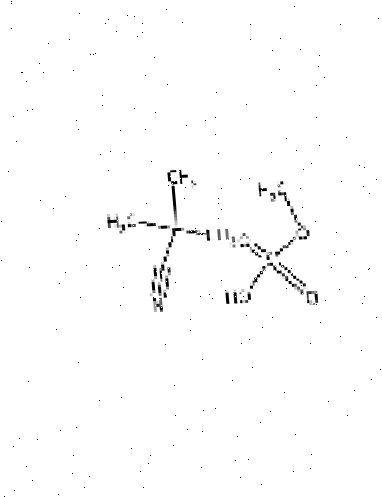 CC(C)(C)C#N.COS(=O)(=O)O